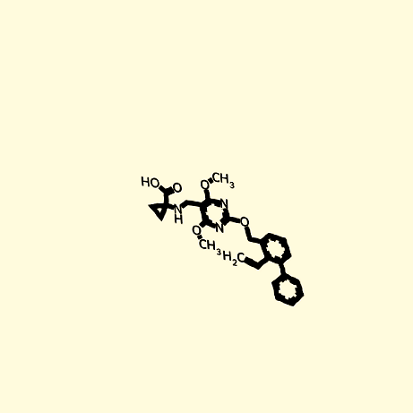 C=Cc1c(COc2nc(OC)c(CNC3(C(=O)O)CC3)c(OC)n2)cccc1-c1ccccc1